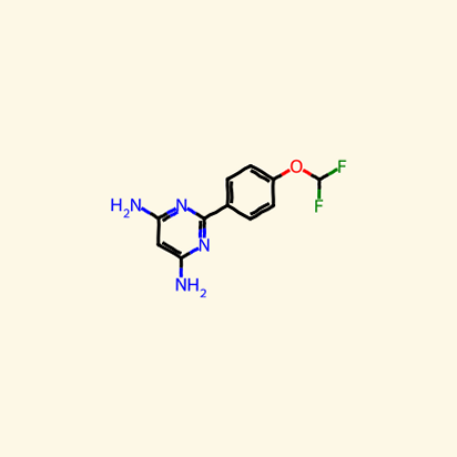 Nc1cc(N)nc(-c2ccc(OC(F)F)cc2)n1